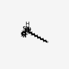 CCCCCCCCCCCCCc1n[nH]c(=S)n1-c1cccnc1